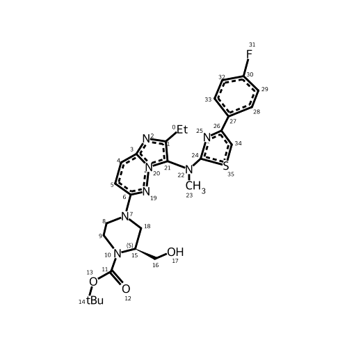 CCc1nc2ccc(N3CCN(C(=O)OC(C)(C)C)[C@H](CO)C3)nn2c1N(C)c1nc(-c2ccc(F)cc2)cs1